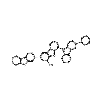 N#Cc1cc(-c2ccc3c(c2)sc2ccccc23)cc2c1oc1c(-n3c4ccccc4c4cc(-c5ccccc5)ccc43)cccc12